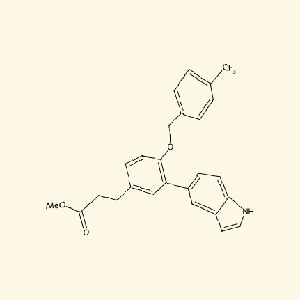 COC(=O)CCc1ccc(OCc2ccc(C(F)(F)F)cc2)c(-c2ccc3[nH]ccc3c2)c1